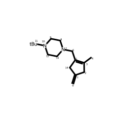 C=C1CC(C)=C(CN2CCN(C(C)(C)C)CC2)C1